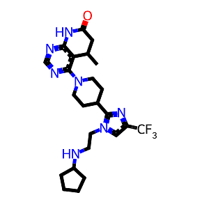 CC1CC(=O)Nc2ncnc(N3CCC(c4nc(C(F)(F)F)cn4CCNC4CCCC4)CC3)c21